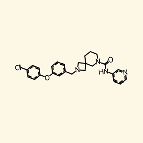 O=C(Nc1cccnc1)N1CCCC2(CN(Cc3cccc(Oc4ccc(Cl)cc4)c3)C2)C1